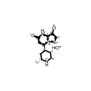 C[C@@H]1C[C@@H](c2cc(=O)[nH]c3c(Cl)cnn23)CCN1.Cl